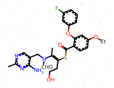 CCOc1ccc(C(=O)SC(CCO)=C(C)N(C=O)Cc2cnc(C)nc2N)c(Oc2cccc(F)c2)c1